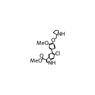 COC(=O)c1c[nH]c2cc(Cl)c(-c3ccc(OCC4CCCN4)c(OC)c3)cc12